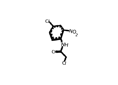 O=C(CCl)Nc1ccc(Cl)cc1[N+](=O)[O-]